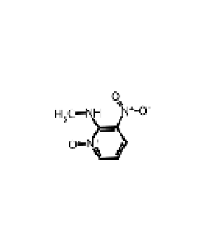 CNc1c([N+](=O)[O-])ccc[n+]1[O-]